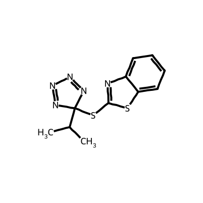 CC(C)C1(Sc2nc3ccccc3s2)N=NN=N1